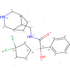 O=C(NCC1C2CCC1CNC2)C(O)(c1ccccc1)[C@@H]1CCC(F)(F)C1